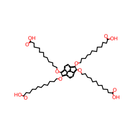 O=C(O)CCCCCCCCCCCOC1=c2ccc3c4c(ccc(c24)=C1OCCCCCCCCCCCC(=O)O)=C(OCCCCCCCCCCCC(=O)O)C=3OCCCCCCCCCCCC(=O)O